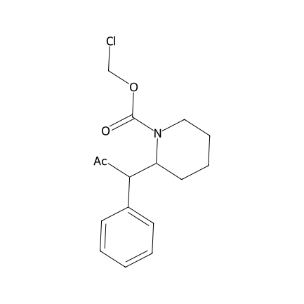 CC(=O)C(c1ccccc1)C1CCCCN1C(=O)OCCl